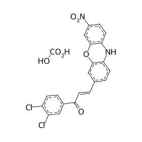 O=C(C=Cc1ccc2c(c1)Oc1cc([N+](=O)[O-])ccc1N2)c1ccc(Cl)c(Cl)c1.O=C(O)O